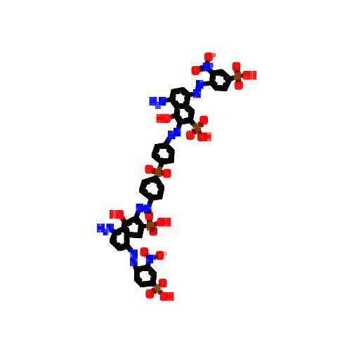 Nc1ccc(N=Nc2ccc(S(=O)(=O)O)cc2[N+](=O)[O-])c2cc(S(=O)(=O)O)c(N=Nc3ccc(S(=O)(=O)c4ccc(N=Nc5c(S(=O)(=O)O)cc6c(N=Nc7ccc(S(=O)(=O)O)cc7[N+](=O)[O-])ccc(N)c6c5O)cc4)cc3)c(O)c12